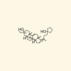 CC[C@]1(O)CC[C@]2(C)C3=CC[C@]4(C)[C@@H]([C@H](C)CCC5(O)CCCC5)CC[C@H]4[C@@H]3CC[C@H]2C1